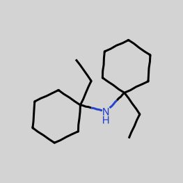 CCC1(NC2(CC)CCCCC2)CCCCC1